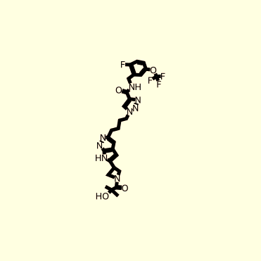 CC(C)(O)C(=O)N1CC(c2cc3cc(CCCCn4cc(C(=O)NCc5cc(OC(F)(F)F)ccc5F)nn4)nnc3[nH]2)C1